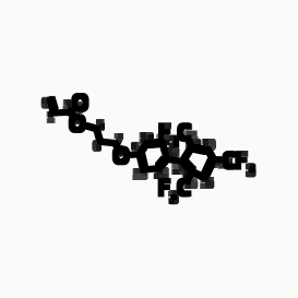 C=CC(=O)OCCCOc1ccc(-c2c(C(F)(F)F)cc(C(F)(F)F)cc2C(F)(F)F)cc1